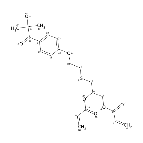 C=CC(=O)OCC(CSCCOc1ccc(C(=O)C(C)(C)O)cc1)OC(=O)C=C